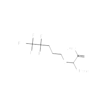 CCCCCC(SCCCC(F)(F)C(F)(F)C(F)(F)F)C(=O)OCC(C)C